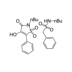 CCCCN1C(=O)C(O)=C(c2ccccc2)S1(=O)=O.CCCCNS(=O)(=O)Cc1ccccc1